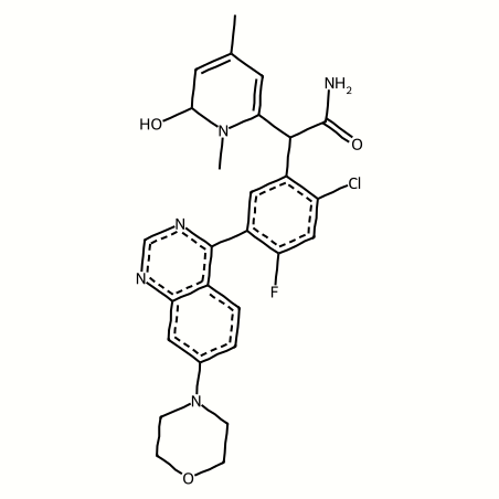 CC1=CC(O)N(C)C(C(C(N)=O)c2cc(-c3ncnc4cc(N5CCOCC5)ccc34)c(F)cc2Cl)=C1